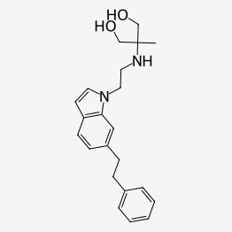 CC(CO)(CO)NCCn1ccc2ccc(CCc3ccccc3)cc21